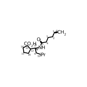 C=CCCCC(=O)N[C@](CC(C)C)(C(=O)O)C1CCCC1